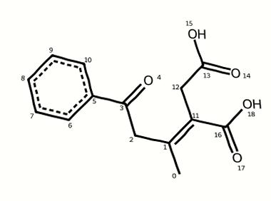 CC(CC(=O)c1ccccc1)=C(CC(=O)O)C(=O)O